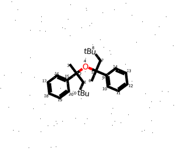 CC(C)(C)CC(C)(OC(C)(CC(C)(C)C)c1ccccc1)c1ccccc1